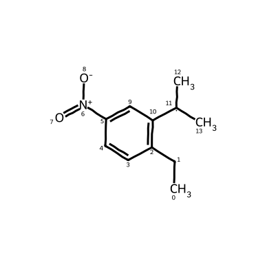 CCc1ccc([N+](=O)[O-])cc1[C](C)C